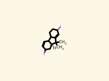 CC1(C)C2=C[C@H](I)CCC2C2C=CC(I)C[C@@H]21